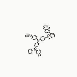 C=Cc1ccc(C23CC4CC(C2)CC(c2ccc(N(c5ccc(CCCC)cc5)c5ccc(N(c6ccccc6)c6ccc7c(c6)CC7)cc5)cc2)(C4)C3)cc1